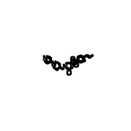 CC=Cc1ccc(S(=O)(=O)N2CCN(CC3CCN(c4ccncc4)CC3)C(=O)C2)cc1